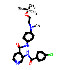 CC(C)(C)[Si](C)(C)OCCN(C#N)c1ccc(NC(=O)c2ccncc2NC(=O)c2ccc(Cl)cc2)cc1